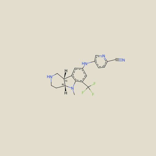 CN1c2c(cc(Nc3ccc(C#N)nc3)cc2C(F)(F)F)[C@H]2CNCC[C@H]21